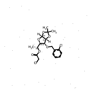 C[C@@H](OC(=O)CCl)[C@H]1O[C@@H]2OC(C)(C)O[C@@H]2[C@H]1OCc1ccccc1Cl